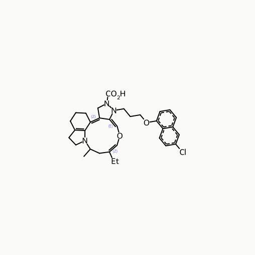 CC/C1=C/O/C=C2\C(=C3\CCCC4=C3N(CC4)C(C)C1)CN(C(=O)O)N2CCCOc1cccc2cc(Cl)ccc12